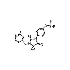 Cc1cc(CN2C(=O)N(c3ccc(SC(F)(F)F)cc3)C(=O)C23CC3)ccn1